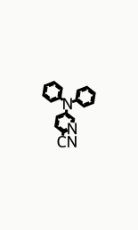 N#Cc1ccc(N(c2ccccc2)c2ccccc2)cn1